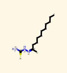 CCCCCCCCCC/C(C)=N\NC(N)=S